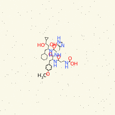 COc1ccc(C[C@H](NC(=O)CCNC(=O)O)C(=O)N[C@@H](Cc2c[nH]cn2)C(=O)N[C@@H](CC2CCCCC2)[C@@H](O)[C@@H](O)C2CC2)cc1